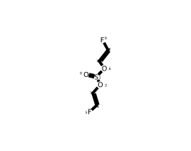 O=S(OC=CF)OC=CF